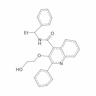 CCC(NC(=O)c1c(OCCO)c(-c2ccccc2)nc2ccccc12)c1ccccc1